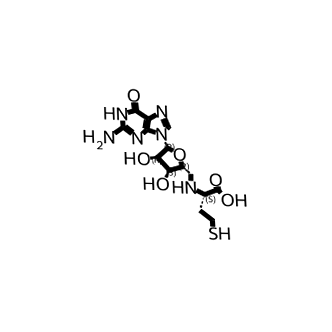 Nc1nc2c(ncn2[C@@H]2O[C@H](CN[C@@H](CCS)C(=O)O)[C@@H](O)[C@H]2O)c(=O)[nH]1